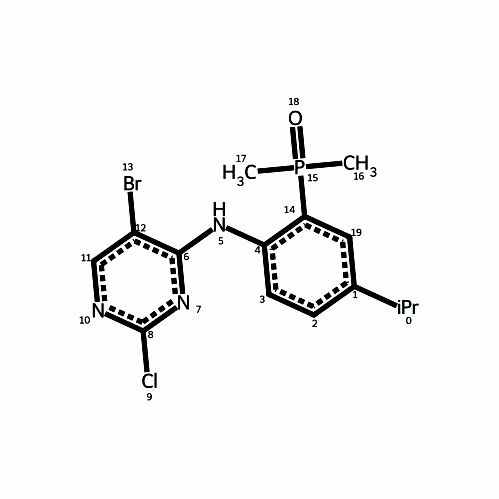 CC(C)c1ccc(Nc2nc(Cl)ncc2Br)c(P(C)(C)=O)c1